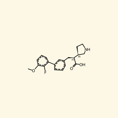 COc1cccc(-c2cccc(C[C@H](C(=O)O)[C@H]3CCNC3)c2)c1F